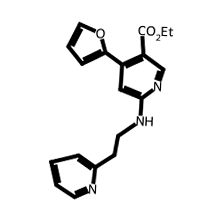 CCOC(=O)c1cnc(NCCc2ccccn2)cc1-c1ccco1